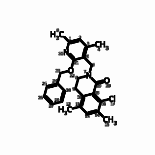 Cc1cc(C)c(CN2CCc3c(C)cc(C)c(Cl)c3C2=O)c(OCc2ccccc2)n1